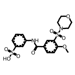 COc1ccc(C(=O)Nc2cccc(S(=O)(=O)O)c2)cc1S(=O)(=O)N1CCOCC1